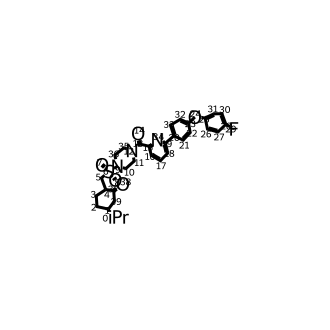 CC(C)C1CCC(CS(=O)(=O)N2CCN(C(=O)c3cccc(-c4ccc(Oc5ccc(F)cc5)cc4)n3)CC2)C(=O)C1